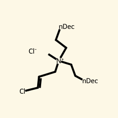 CCCCCCCCCCCC[N+](C)(CC=CCl)CCCCCCCCCCCC.[Cl-]